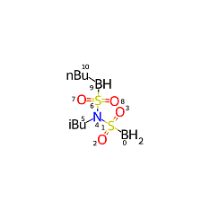 BS(=O)(=O)N(C(C)CC)S(=O)(=O)BCCCC